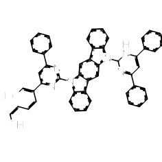 C\C=C/C=C\C(=C/C)c1cc(-c2ccccc2)nc(-n2c3ccccc3c3cc4c(cc32)c2ccccc2n4C2N=C(c3ccccc3)C=C(c3ccccc3)N2)n1